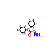 NOC(=O)N(C1CCCCC1)C1CCCCC1